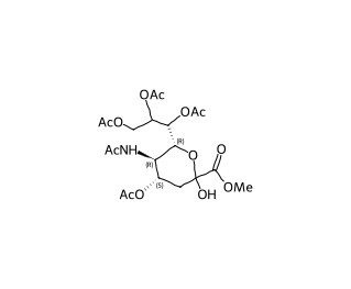 COC(=O)C1(O)C[C@H](OC(C)=O)[C@@H](NC(C)=O)[C@H](C(OC(C)=O)C(COC(C)=O)OC(C)=O)O1